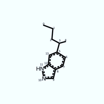 CCCC(C)c1ccc2cn[nH]c2c1